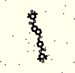 CC1(C)CC(OC(=O)C2CCC(COC3CCC4CC(C(=O)OC5CC(C)(C)NC(C)(C)C5)CCC4C3)CC2)CC(C)(C)N1